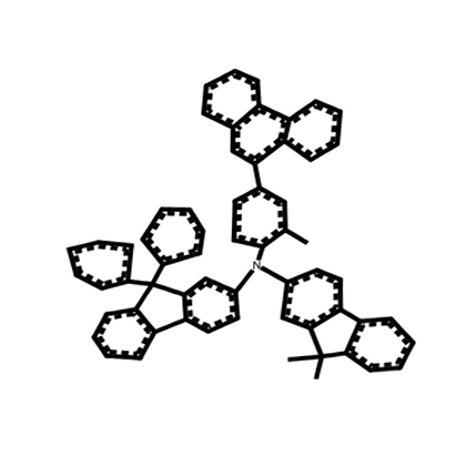 Cc1cc(-c2cc3ccccc3c3ccccc23)ccc1N(c1ccc2c(c1)C(C)(C)c1ccccc1-2)c1ccc2c(c1)C(c1ccccc1)(c1ccccc1)c1ccccc1-2